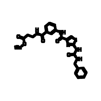 CC(C)(C)OC(=O)CCNC(=O)c1cccc(NC(=O)c2csc(NC(=O)NCc3ccccc3)n2)c1